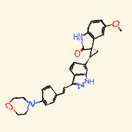 COc1ccc2c(c1)[C@]1(C[C@H]1c1ccc3c(/C=C/c4ccc(N5CCOCC5)cc4)n[nH]c3c1)C(=O)N2